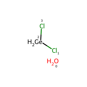 O.[Cl][GeH2][Cl]